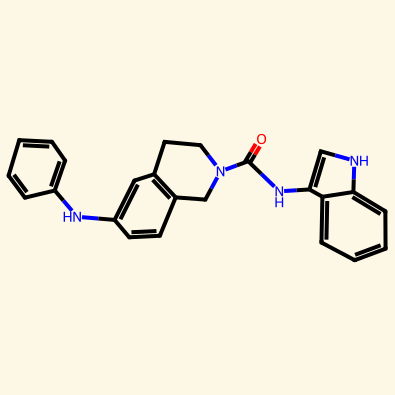 O=C(Nc1c[nH]c2ccccc12)N1CCc2cc(Nc3ccccc3)ccc2C1